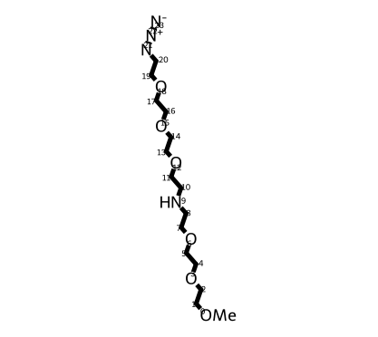 COCCOCCOCCNCCOCCOCCOCCN=[N+]=[N-]